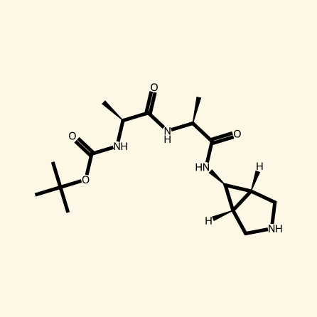 C[C@H](NC(=O)OC(C)(C)C)C(=O)N[C@@H](C)C(=O)N[C@H]1[C@@H]2CNC[C@@H]21